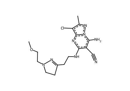 COCCN1CCC(CCNc2nc3c(Cl)c(C)nn3c(N)c2C#N)=N1